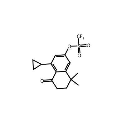 CC1(C)CCC(=O)c2c(C3CC3)cc(OS(=O)(=O)C(F)(F)F)cc21